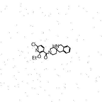 CCOc1nc(Cl)ccc1C(=O)N1CCC2(CC1)Cc1ccccc1CN2